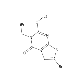 CCOc1nc2sc(Br)cc2c(=O)n1CC(C)C